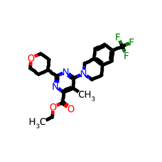 CCOC(=O)c1nc(C2CCOCC2)nc(N2CCc3cc(C(F)(F)F)ccc3C2)c1C